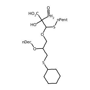 CCCCCCCCCCOC(COC(SCCCCC)C(O)([PH2]=O)C(=O)O)CSC1CCCCC1